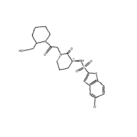 O=C1[C@@H](NS(=O)(=O)c2cc3cc(Cl)ccc3s2)CCCN1CC(=O)N1CCCCC1CO